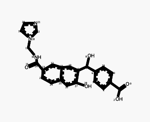 O=C(O)c1ccc(C(O)c2cc3cc(C(=O)NCn4ccnc4)ccc3cc2O)cc1